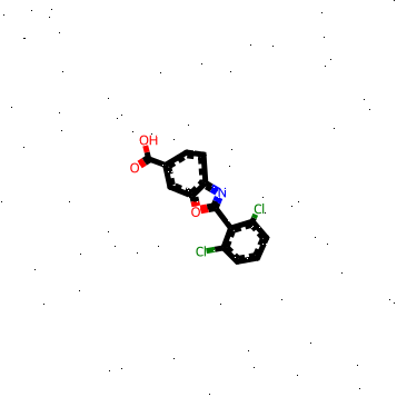 O=C(O)c1ccc2nc(-c3c(Cl)cccc3Cl)oc2c1